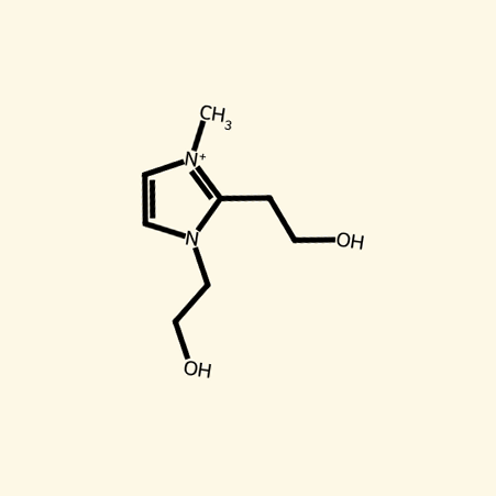 C[n+]1ccn(CCO)c1CCO